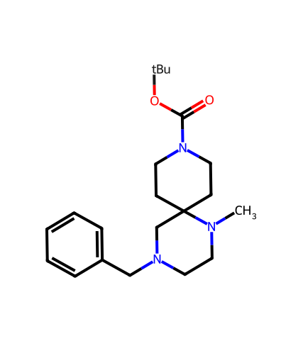 CN1CCN(Cc2ccccc2)CC12CCN(C(=O)OC(C)(C)C)CC2